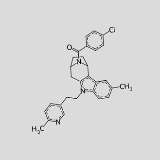 Cc1ccc2c(c1)c1c(n2CCc2ccc(C)nc2)CC2CCC1N2C(=O)c1ccc(Cl)cc1